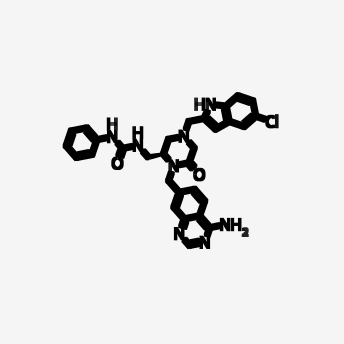 Nc1ncnc2cc(CN3C(=O)CN(Cc4cc5cc(Cl)ccc5[nH]4)C[C@@H]3CNC(=O)Nc3ccccc3)ccc12